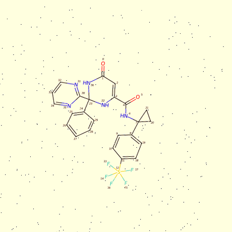 O=C1C=C(C(=O)NC2(c3ccc(S(F)(F)(F)(F)F)cc3)CC2)NC(c2ccccc2)(c2ncccn2)N1